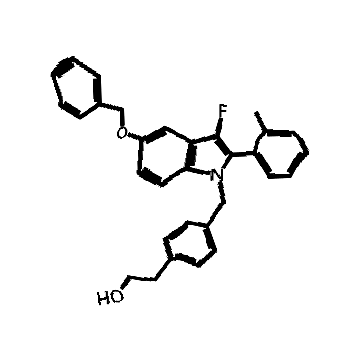 Cc1ccccc1-c1c(F)c2cc(OCc3ccccc3)ccc2n1Cc1ccc(CCO)cc1